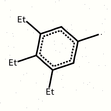 [CH2]c1cc(CC)c(CC)c(CC)c1